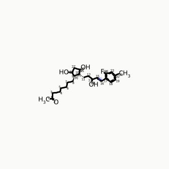 CC(=O)CCCCCC[C@@H]1[C@@H](CCC(O)/C=C/c2ccc(C)cc2F)[C@H](O)C[C@@H]1O